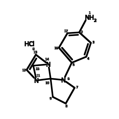 Cl.Nc1ccc(N2CCCC23N2C=CN3C2)cc1